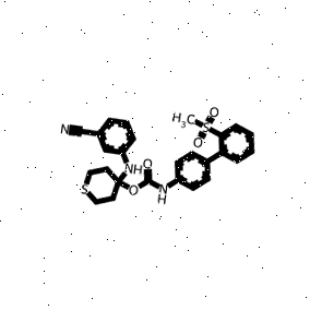 CS(=O)(=O)c1ccccc1-c1ccc(NC(=O)OC2(Nc3cccc(C#N)c3)CCSCC2)cc1